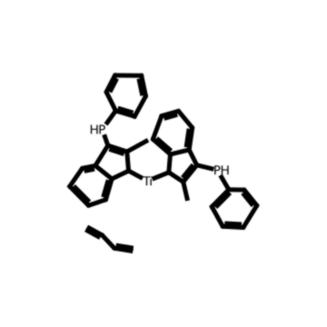 C=CC=C.CC1=C(Pc2ccccc2)c2ccccc2[CH]1[Ti][CH]1C(C)=C(Pc2ccccc2)c2ccccc21